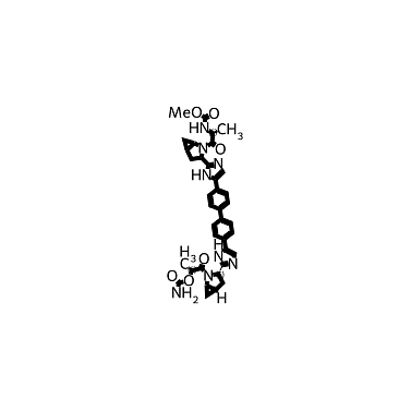 COC(=O)N[C@@H](C)C(=O)N1C(c2ncc(-c3ccc(-c4ccc(-c5cnc([C@@H]6C[C@@H]7CC7N6C(=O)[C@H](C)OC(N)=O)[nH]5)cc4)cc3)[nH]2)CC2CC21